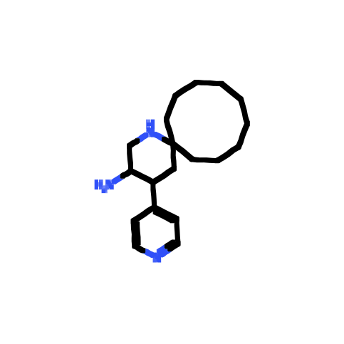 NC1CNC2(CCCCCCCCC2)CC1c1ccncc1